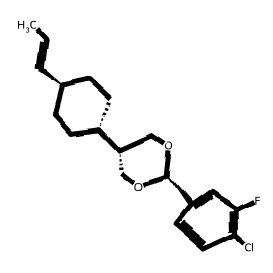 CC=C[C@H]1CC[C@H]([C@H]2CO[C@H](c3ccc(Cl)c(F)c3)OC2)CC1